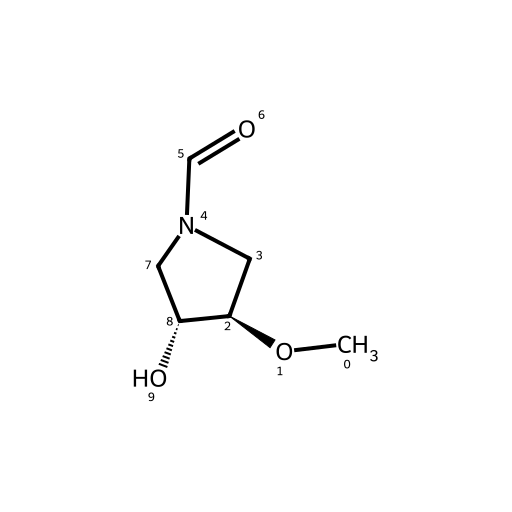 CO[C@@H]1CN(C=O)C[C@H]1O